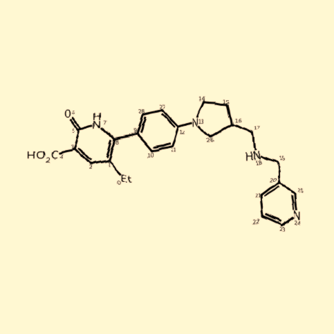 CCc1cc(C(=O)O)c(=O)[nH]c1-c1ccc(N2CCC(CNCc3cccnc3)C2)cc1